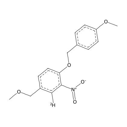 [2H]c1c(COC)ccc(OCc2ccc(OC)cc2)c1[N+](=O)[O-]